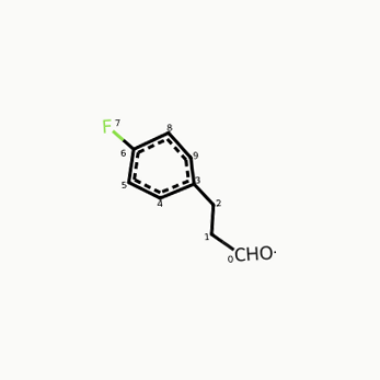 O=[C]CCc1ccc(F)cc1